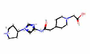 O=C(O)CN1CCC(CC(=O)Nc2cn(C3CCNCC3)cn2)CC1